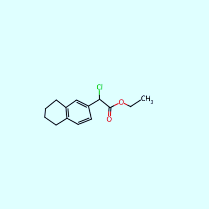 CCOC(=O)C(Cl)c1ccc2c(c1)CCCC2